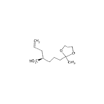 C=CC[C@@H](CCCC1(C)OCCO1)C(=O)O